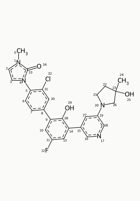 Cn1ccn(-c2ccc(-c3cc(F)cc(-c4cncc(N5CCC(C)(O)C5)c4)c3O)cc2Cl)c1=O